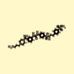 CCCCN1CCN(C(=N)c2cccc(NC(=O)Nc3ccc(S(=O)(=O)NCCc4ccc(S(N)(=O)=O)cc4)cc3)c2)CC1